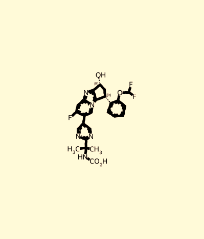 CC(C)(NC(=O)O)c1ncc(-c2cn3c4c(nc3cc2F)[C@H](O)C[C@@H]4c2ccccc2OC(F)F)cn1